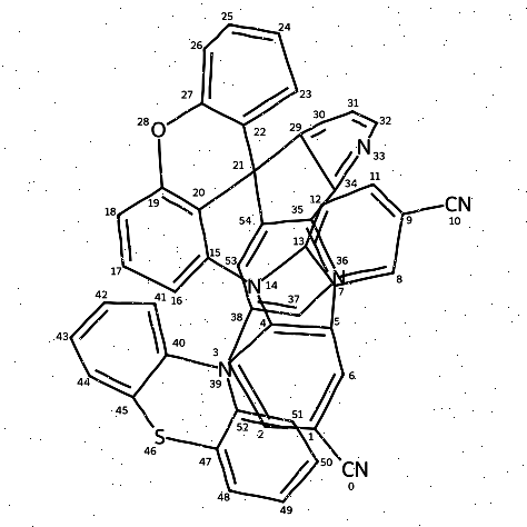 N#Cc1ccc2c(c1)c1cc(C#N)ccc1n2-c1cccc2c1C1(c3ccccc3O2)c2cccnc2-c2ncc(N3c4ccccc4Sc4ccccc43)cc21